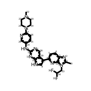 Cc1nc2ccc(-c3c[nH]c4nc(Nc5ccc(N6CCN(C)CC6)nc5)ncc34)nc2n1CC(F)F